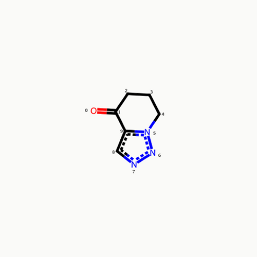 O=C1CCCn2nncc21